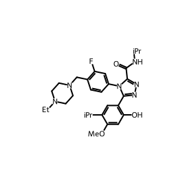 CCN1CCN(Cc2ccc(-n3c(C(=O)NC(C)C)nnc3-c3cc(C(C)C)c(OC)cc3O)cc2F)CC1